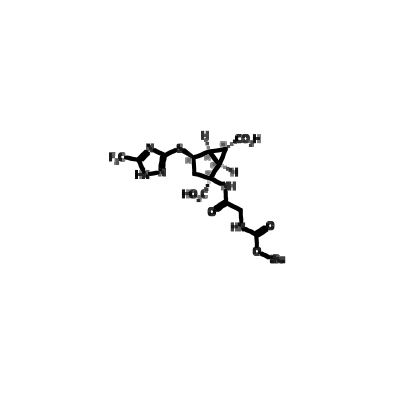 CC(C)(C)OC(=O)NCC(=O)N[C@@]1(C(=O)O)C[C@@H](Sc2n[nH]c(C(F)(F)F)n2)[C@H]2[C@H](C(=O)O)[C@H]21